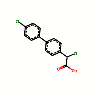 O=C(O)C(Cl)c1ccc(-c2ccc(Cl)cc2)cc1